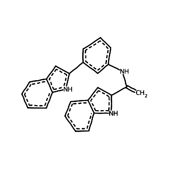 C=C(Nc1cccc(-c2cc3ccccc3[nH]2)c1)c1cc2ccccc2[nH]1